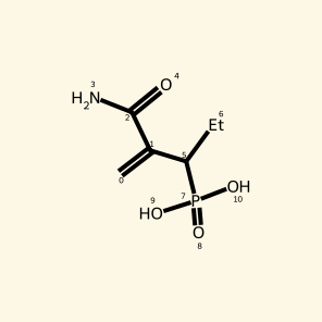 C=C(C(N)=O)C(CC)P(=O)(O)O